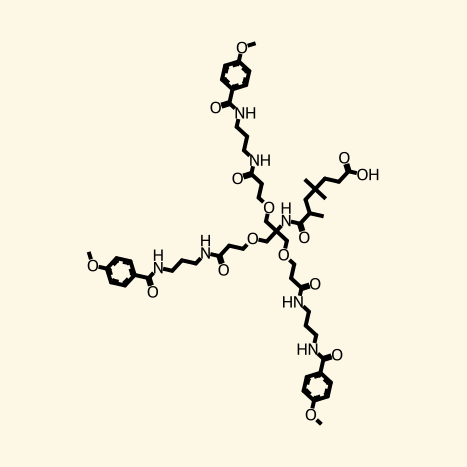 COc1ccc(C(=O)NCCCNC(=O)CCOCC(COCCC(=O)NCCCNC(=O)c2ccc(OC)cc2)(COCCC(=O)NCCCNC(=O)c2ccc(OC)cc2)NC(=O)C(C)CC(C)(C)CCC(=O)O)cc1